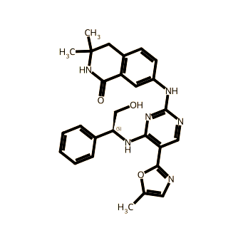 Cc1cnc(-c2cnc(Nc3ccc4c(c3)C(=O)NC(C)(C)C4)nc2N[C@H](CO)c2ccccc2)o1